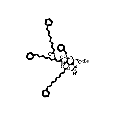 C[SiH](C)O[C@H]1[C@H](OC(=O)CCCCCCCCc2ccccc2)[C@@H](NC(=O)CC(CCCCCCc2ccccc2)OC(=O)CCCCCCCCc2ccccc2)[C@H](OCc2ccccc2)O[C@@H]1COC(C)(C)C